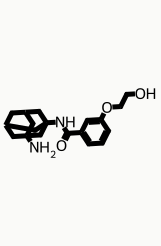 NC12CC3CC(C1)CC(NC(=O)c1cccc(OCCO)c1)(C3)C2